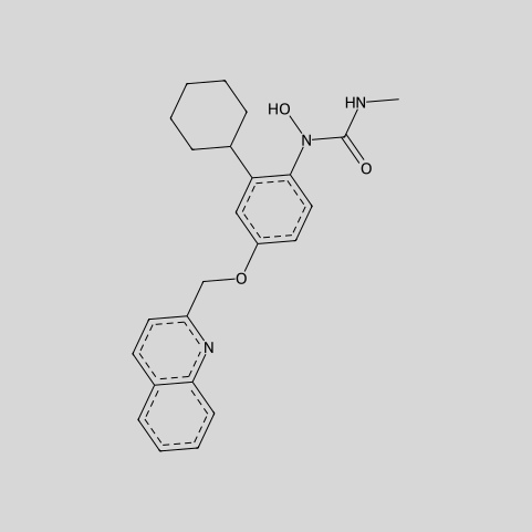 CNC(=O)N(O)c1ccc(OCc2ccc3ccccc3n2)cc1C1CCCCC1